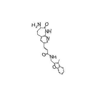 Cc1c(CNC(=O)/C=C/c2cnc3c(c2)CCC(N)C(=O)N3)oc2ccccc12